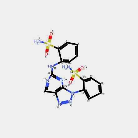 NS(=O)(=O)c1ccccc1Nc1ncc2nnn(-c3ccccc3S(N)(=O)=O)c2n1